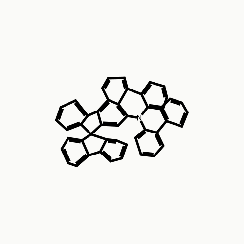 c1ccc(-c2ccccc2N2c3ccccc3-c3cccc4c5c(cc2c34)C2(c3ccccc3-c3ccccc32)c2ccccc2-5)cc1